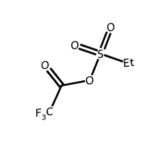 CCS(=O)(=O)OC(=O)C(F)(F)F